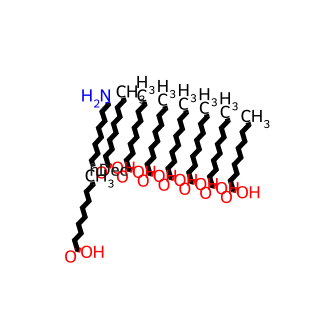 CCCCCCCCCC(=O)O.CCCCCCCCCC(=O)O.CCCCCCCCCC(=O)O.CCCCCCCCCC(=O)O.CCCCCCCCCC(=O)O.CCCCCCCCCC(=O)O.CCCCCCCCCC(=O)O.CCCCCCCCCC(=O)O.CCCCCCCCCCCCCCCCCCN